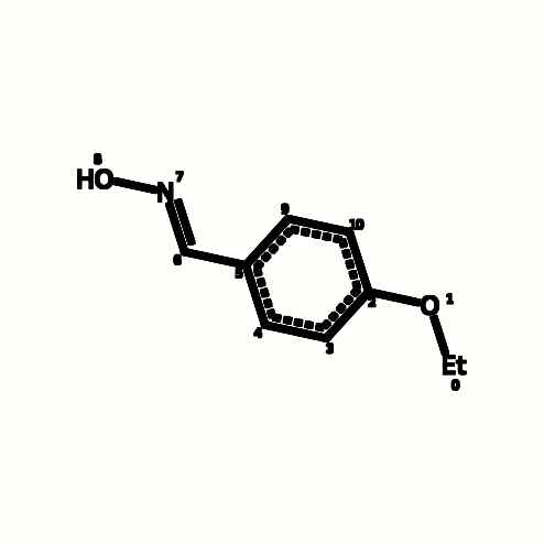 CCOc1ccc(C=NO)cc1